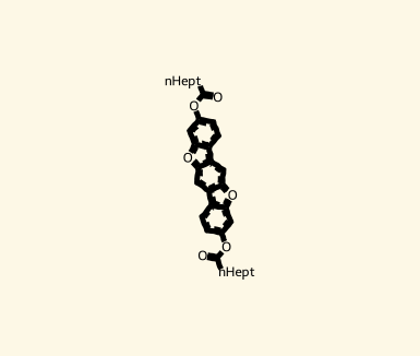 CCCCCCCC(=O)Oc1ccc2c(c1)oc1cc3c(cc12)oc1cc(OC(=O)CCCCCCC)ccc13